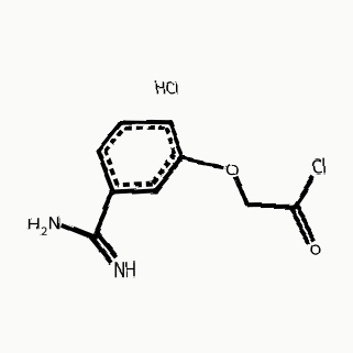 Cl.N=C(N)c1cccc(OCC(=O)Cl)c1